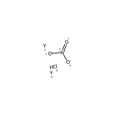 Cl.O=[N+]([O-])[O-].[Y].[Y]